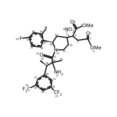 COC(=O)CC(C(=O)OC)[C@@]1([N+](=O)[O-])CCN(C(=O)C(C)(N)[C@H](C)c2cc(C(F)(F)F)cc(C(F)(F)F)c2)[C@@H](c2ccc(F)cc2C)C1